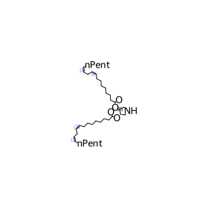 CCCCC/C=C\C/C=C\CCCCCCCC(=O)OC1CNC[C@H]1OC(=O)CCCCCCC/C=C\C/C=C\CCCCC